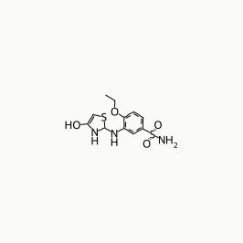 CCOc1ccc(S(N)(=O)=O)cc1NC1NC(O)=CS1